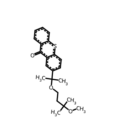 COC(C)(C)CCOC(C)(C)c1ccc2sc3ccccc3c(=O)c2c1